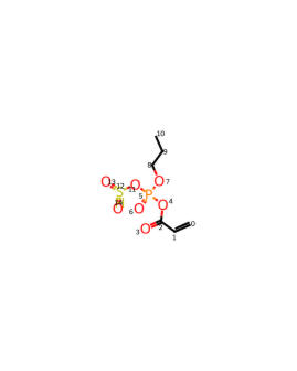 C=CC(=O)OP(=O)(OCCC)O[SH](=O)=O